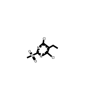 CCc1c(Cl)nc(S(C)(=O)=O)nc1Cl